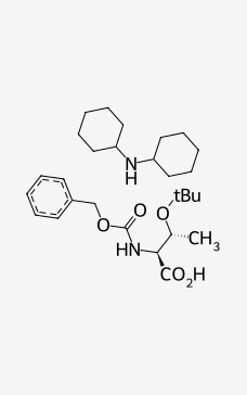 C1CCC(NC2CCCCC2)CC1.C[C@@H](OC(C)(C)C)[C@H](NC(=O)OCc1ccccc1)C(=O)O